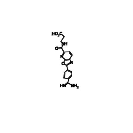 N=C(N)c1ccc(-c2nc3ccc(C(=O)NCCC(=O)O)nc3o2)cc1